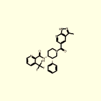 Cc1n[nH]c2ncc(C(=O)N3CC[C@@H](NC(=O)c4ncccc4C(F)(F)F)[C@@H](c4ccccc4)C3)cc12